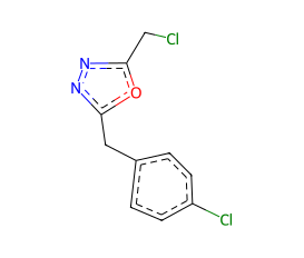 ClCc1nnc(Cc2ccc(Cl)cc2)o1